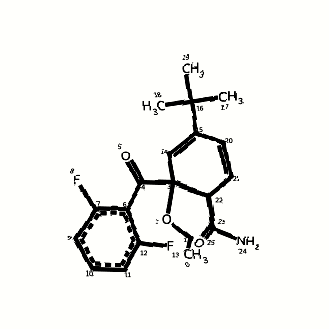 CCOC1(C(=O)c2c(F)cccc2F)C=C(C(C)(C)C)C=CC1C(N)=O